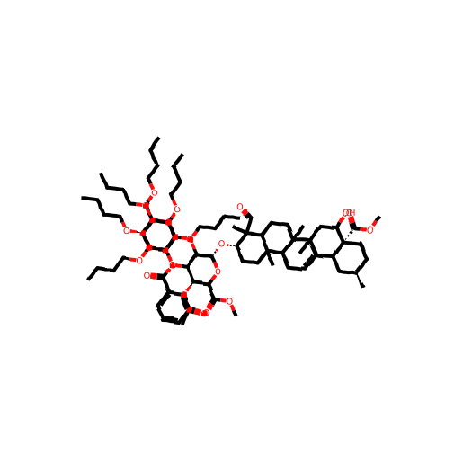 CCCCOCC1O[C@@H](OC2C(O[C@@H]3OC[C@@H](OCCCC)C(OCCCC)C3OCCCC)[C@H](OC(C)=O)C(C(=O)OC)O[C@H]2O[C@H]2CCC3(C)C(CCC4(C)C3CC=C3C5C[C@H](C)CC[C@]5(C(=O)OC)C(O)CC34C)C2(C)C=O)C(OC(=O)c2ccccc2)C(OCCCC)[C@H]1OCCCC